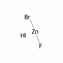 I.[F][Zn][Br]